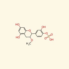 COC1Cc2c(O)cc(O)cc2OC1c1ccc(OS(=O)(=O)O)c(O)c1